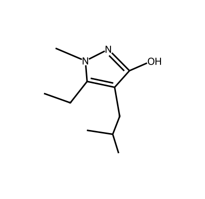 CCc1c(CC(C)C)c(O)nn1C